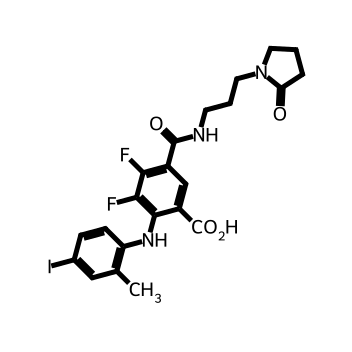 Cc1cc(I)ccc1Nc1c(C(=O)O)cc(C(=O)NCCCN2CCCC2=O)c(F)c1F